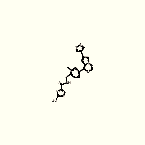 Cc1cc(-c2ncnn3cc(-c4cnsc4)cc23)ccc1CNC(=O)c1noc(C(C)(C)C)n1